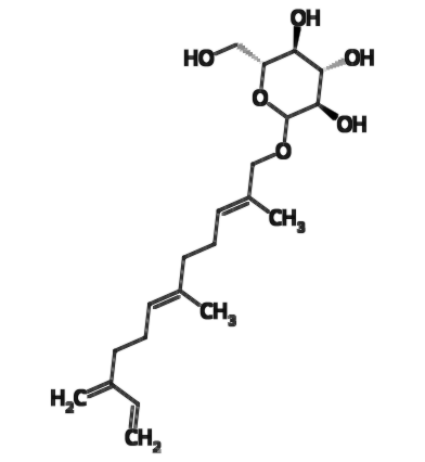 C=CC(=C)CC/C=C(\C)CC/C=C(\C)COC1O[C@H](CO)[C@@H](O)[C@H](O)[C@H]1O